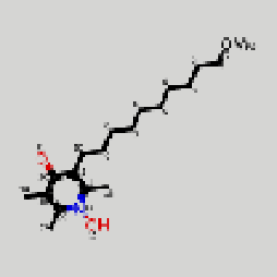 COCCCCCCCCCCc1c(C)n(O)c(C)c(C)c1=O